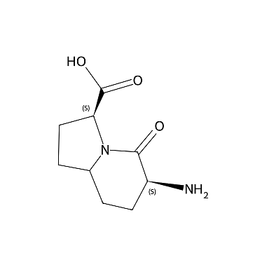 N[C@H]1CCC2CC[C@@H](C(=O)O)N2C1=O